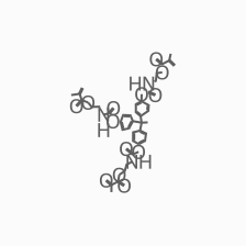 C=C(C)C(=O)OCCNC(=O)Oc1ccc(C(C)(c2ccc(OC(=O)NCCOC(=O)C(=C)C)cc2)c2ccc(OC(=O)NCCOC(=O)C(C)=O)cc2)cc1